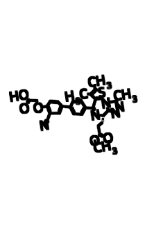 COC(=O)CC[C@@H]1N=C(c2ccc(-c3ccc(OCC(=O)O)c(C#N)c3)cc2)c2c(sc(C)c2C)-n2c(C)nnc21